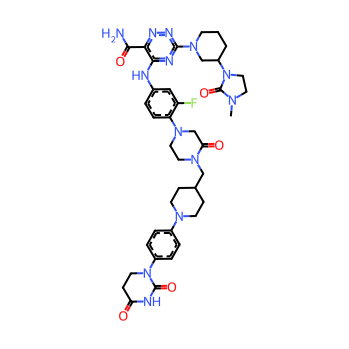 CN1CCN(C2CCCN(c3nnc(C(N)=O)c(Nc4ccc(N5CCN(CC6CCN(c7ccc(N8CCC(=O)NC8=O)cc7)CC6)C(=O)C5)c(F)c4)n3)C2)C1=O